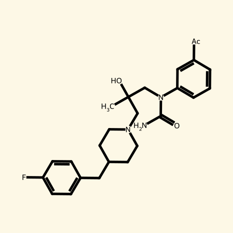 CC(=O)c1cccc(N(CC(C)(O)CN2CCC(Cc3ccc(F)cc3)CC2)C(N)=O)c1